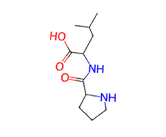 CC(C)CC(NC(=O)C1CCCN1)C(=O)O